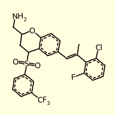 C/C(=C\c1ccc2c(c1)C(S(=O)(=O)c1cccc(C(F)(F)F)c1)CC(CN)O2)c1c(F)cccc1Cl